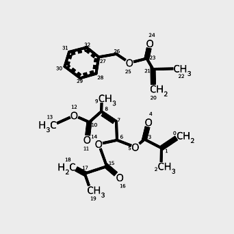 C=C(C)C(=O)OC(C=C(C)C(=O)OC)OC(=O)C(=C)C.C=C(C)C(=O)OCc1ccccc1